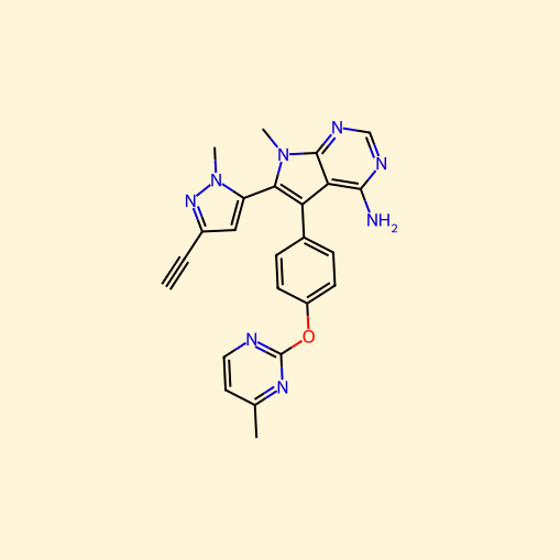 C#Cc1cc(-c2c(-c3ccc(Oc4nccc(C)n4)cc3)c3c(N)ncnc3n2C)n(C)n1